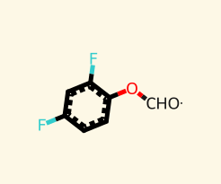 O=[C]Oc1ccc(F)cc1F